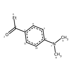 CCC(=O)c1ccc(N(C)C)cc1